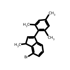 Cc1cc(C)c(C2=CC(C)c3c(Br)cccc32)c(C)c1